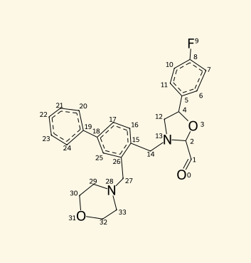 O=CC1OC(c2ccc(F)cc2)CN1Cc1ccc(-c2ccccc2)cc1CN1CCOCC1